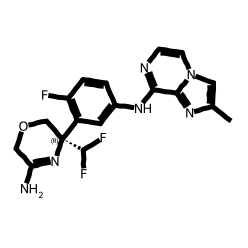 Cc1cn2ccnc(Nc3ccc(F)c([C@]4(C(F)F)COCC(N)=N4)c3)c2n1